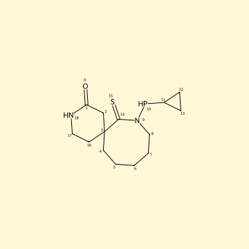 O=C1CC2(CCCCCN(PC3CC3)C2=S)CCN1